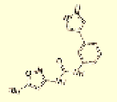 CC(C)(C)c1cc(NC(=O)Nc2cccc(-c3cn[nH]c3)c2)no1